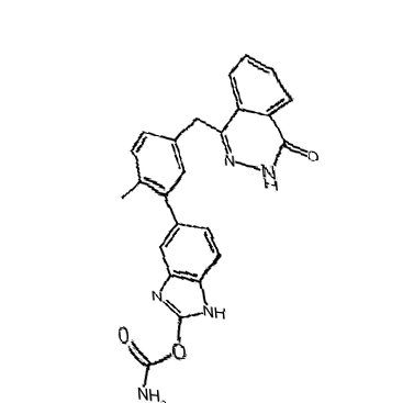 Cc1ccc(Cc2n[nH]c(=O)c3ccccc23)cc1-c1ccc2[nH]c(OC(N)=O)nc2c1